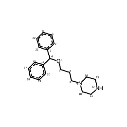 c1ccc(C(OCCCN2CCNCC2)c2ccccc2)cc1